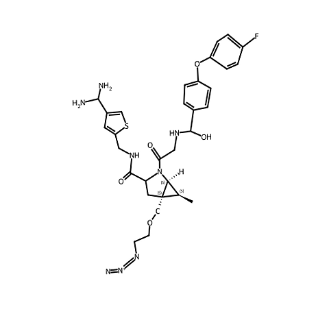 C[C@@H]1[C@@H]2N(C(=O)CNC(O)c3ccc(Oc4ccc(F)cc4)cc3)C(C(=O)NCc3cc(C(N)N)cs3)C[C@]12COCCN=[N+]=[N-]